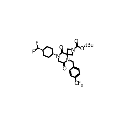 CC(C)(C)OC(=O)N1CC2(C1)C(=O)N([C@H]1CC[C@H](C(F)F)CC1)CC(=O)N2Cc1ccc(C(F)(F)F)cc1